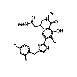 CNC(=O)CC1CN(C(C)C)C(=O)c2c(O)c(=O)c(-c3ncc(Cc4ccc(F)cc4F)s3)cn21